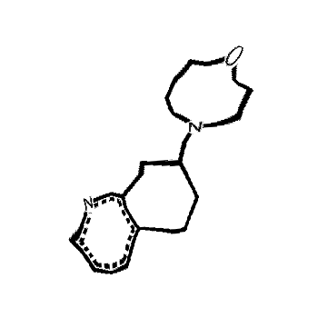 c1cnc2c(c1)CCC(N1CCOCC1)C2